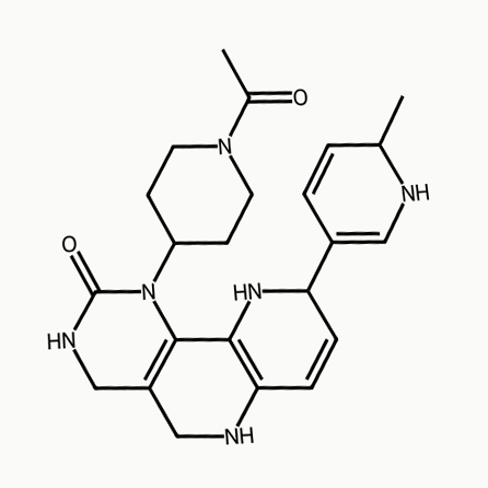 CC(=O)N1CCC(N2C(=O)NCC3=C2C2=C(C=CC(C4=CNC(C)C=C4)N2)NC3)CC1